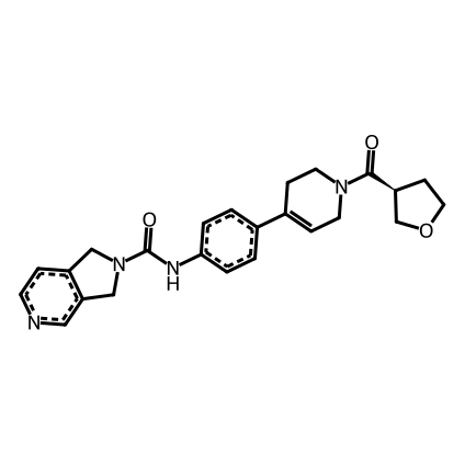 O=C(Nc1ccc(C2=CCN(C(=O)[C@H]3CCOC3)CC2)cc1)N1Cc2ccncc2C1